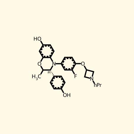 CCCN1CC(Oc2ccc(N3c4ccc(O)cc4OC(C)[C@H]3c3ccc(O)cc3)cc2F)C1